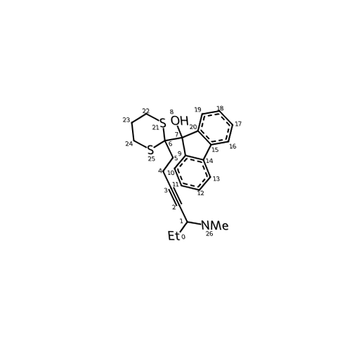 CCC(C#CCCC1(C2(O)c3ccccc3-c3ccccc32)SCCCS1)NC